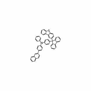 c1ccc(N(c2ccc(-c3ccc4ccccc4c3)cc2)c2ccc(C3(c4ccc5sc6ccccc6c5c4)c4ccccc4-c4ccccc43)cc2)cc1